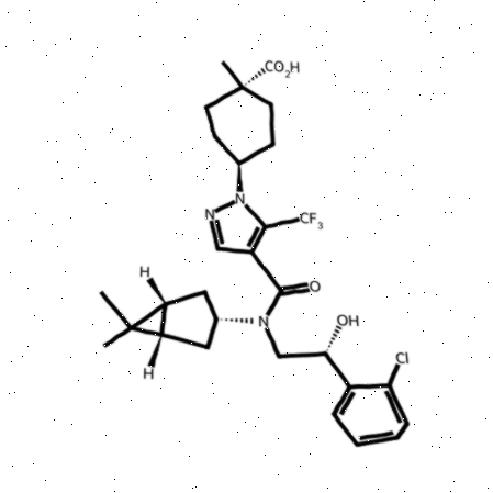 CC1(C)[C@@H]2C[C@H](N(C[C@H](O)c3ccccc3Cl)C(=O)c3cnn([C@H]4CC[C@](C)(C(=O)O)CC4)c3C(F)(F)F)C[C@@H]21